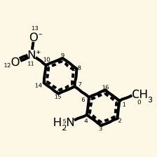 Cc1ccc(N)c(-c2ccc([N+](=O)[O-])cc2)c1